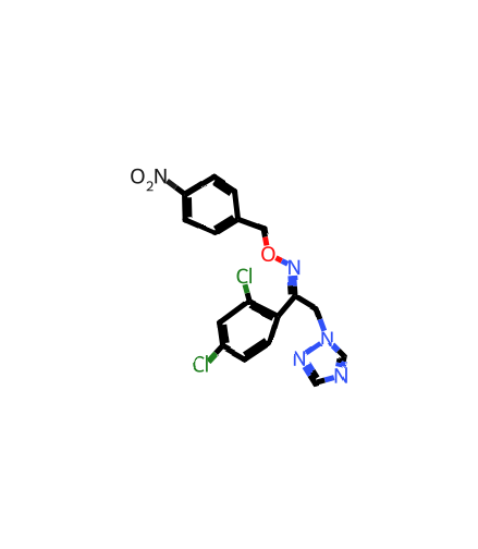 O=[N+]([O-])c1ccc(CON=C(Cn2cncn2)c2ccc(Cl)cc2Cl)cc1